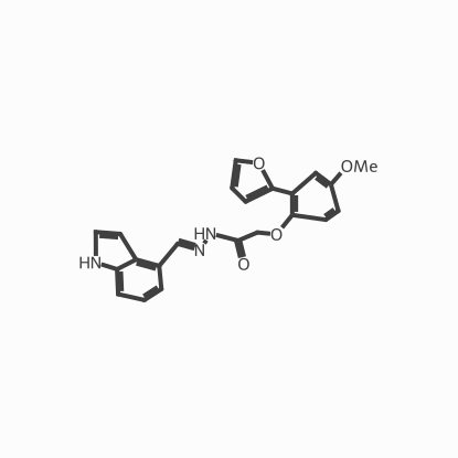 COc1ccc(OCC(=O)N/N=C/c2cccc3[nH]ccc23)c(-c2ccco2)c1